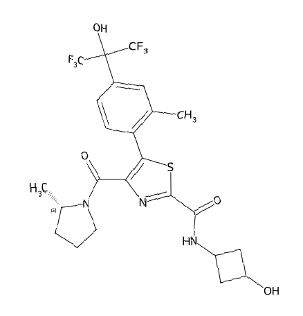 Cc1cc(C(O)(C(F)(F)F)C(F)(F)F)ccc1-c1sc(C(=O)NC2CC(O)C2)nc1C(=O)N1CCC[C@@H]1C